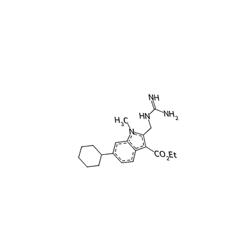 CCOC(=O)c1c(CNC(=N)N)n(C)c2cc(C3CCCCC3)ccc12